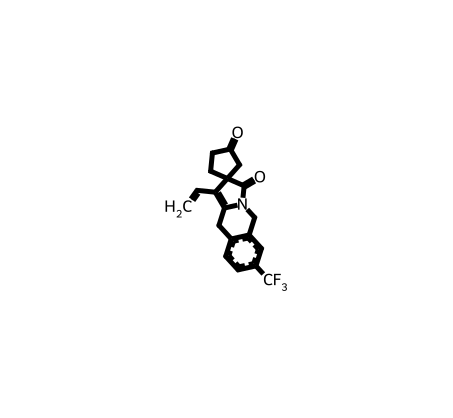 C=CC1=C2Cc3ccc(C(F)(F)F)cc3CN2C(=O)C12CCC(=O)C2